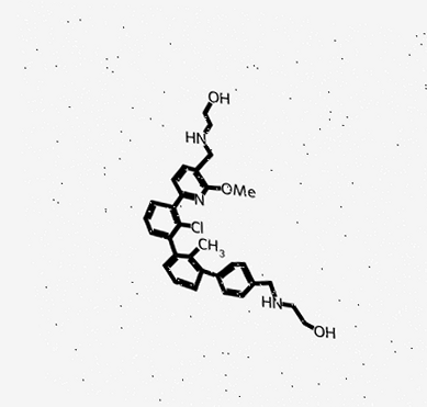 COc1nc(-c2cccc(-c3cccc(-c4ccc(CNCCO)cc4)c3C)c2Cl)ccc1CNCCO